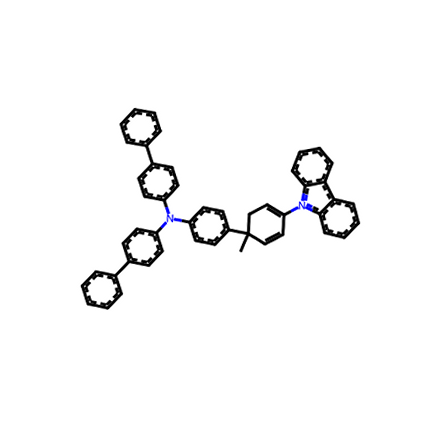 CC1(c2ccc(N(c3ccc(-c4ccccc4)cc3)c3ccc(-c4ccccc4)cc3)cc2)C=CC(n2c3ccccc3c3ccccc32)=CC1